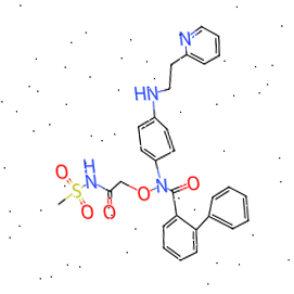 CS(=O)(=O)NC(=O)CON(C(=O)c1ccccc1-c1ccccc1)c1ccc(NCCc2ccccn2)cc1